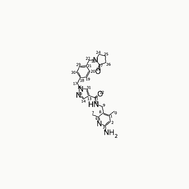 Cc1cc(N)nc(C)c1CNC(=O)c1cnn(Cc2ccc(CN3CCCC3=O)cc2)c1